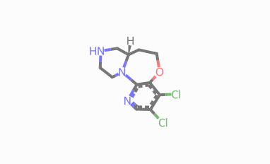 Clc1cnc2c(c1Cl)OCC[C@H]1CNCCN21